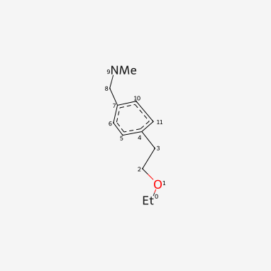 CCOCCc1ccc(CNC)cc1